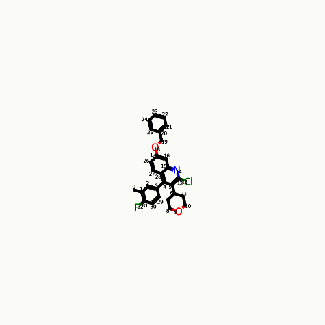 Cc1cc(-c2c(C3CCOCC3)c(Cl)nc3cc(OCc4ccccc4)ccc23)ccc1F